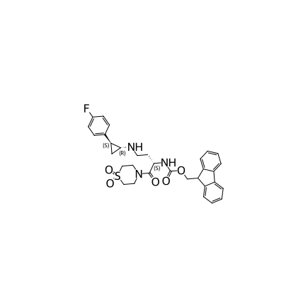 O=C(N[C@@H](CCN[C@@H]1C[C@H]1c1ccc(F)cc1)C(=O)N1CCS(=O)(=O)CC1)OCC1c2ccccc2-c2ccccc21